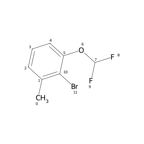 Cc1cccc(OC(F)F)c1Br